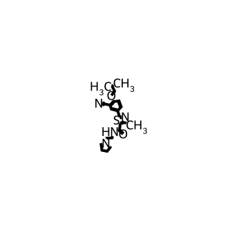 Cc1nc(-c2ccc(OCC(C)C)c(C#N)c2)sc1C(=O)NCCN1CCCC1